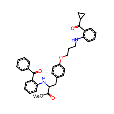 COC(=O)C(Cc1ccc(OCCCNc2ccccc2C(=O)C2CC2)cc1)Nc1ccccc1C(=O)c1ccccc1